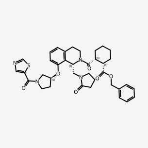 O=C(OCc1ccccc1)[C@H]1CCCC[C@H]1C(=O)N1CCc2cccc(O[C@H]3CCN(C(=O)c4cncs4)C3)c2[C@H]1CN1CCCC1=O